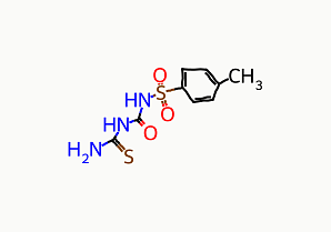 Cc1ccc(S(=O)(=O)NC(=O)NC(N)=S)cc1